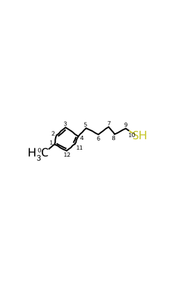 Cc1ccc(CCCCCS)cc1